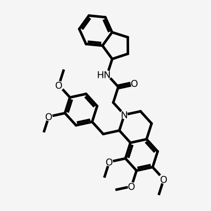 COc1ccc(CC2c3c(cc(OC)c(OC)c3OC)CCN2CC(=O)NC2CCc3ccccc32)cc1OC